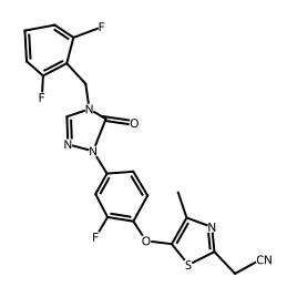 Cc1nc(CC#N)sc1Oc1ccc(-n2ncn(Cc3c(F)cccc3F)c2=O)cc1F